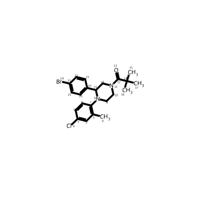 Cc1cc(Cl)ccc1N1CCN(C(=O)C(C)(C)C)CC1c1ccc(Br)cc1